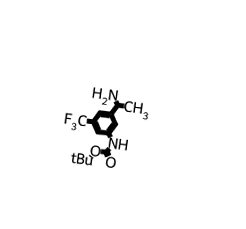 CC(N)c1cc(NC(=O)OC(C)(C)C)cc(C(F)(F)F)c1